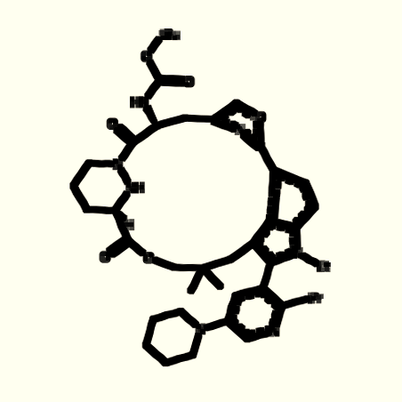 CCn1c(-c2cc(N3CCCCC3)cnc2C(C)C)c2c3cc(ccc31)-c1nc(co1)C[C@H](NC(=O)OC(C)(C)C)C(=O)N1CCC[C@H](N1)C(=O)OCC(C)(C)C2